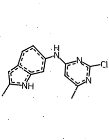 Cc1cc(Nc2ccc3cc(C)[nH]c3c2)nc(Cl)n1